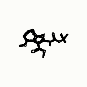 COC(=O)c1c(NC(=O)OC(C)(C)C)nn2cccc(OC)c12